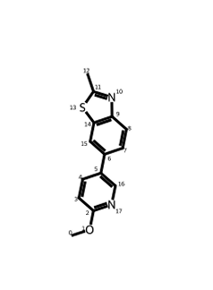 COc1ccc(-c2ccc3nc(C)sc3c2)cn1